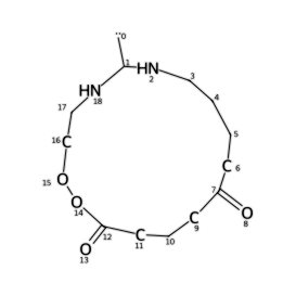 [CH]C1NCCCCC(=O)CCCC(=O)OOCCN1